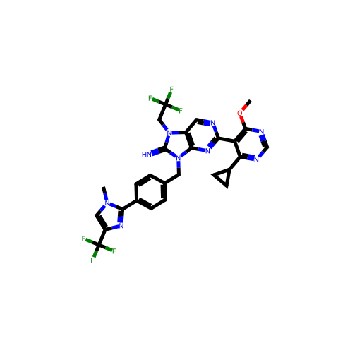 COc1ncnc(C2CC2)c1-c1ncc2c(n1)n(Cc1ccc(-c3nc(C(F)(F)F)cn3C)cc1)c(=N)n2CC(F)(F)F